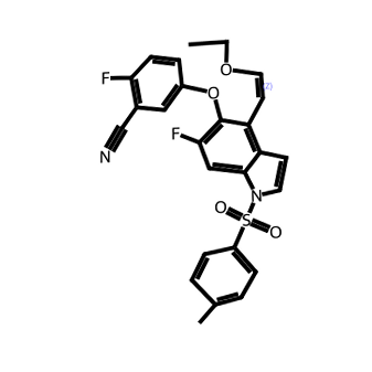 CCO/C=C\c1c(Oc2ccc(F)c(C#N)c2)c(F)cc2c1ccn2S(=O)(=O)c1ccc(C)cc1